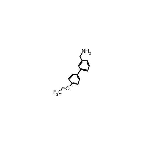 NCc1cccc(-c2ccc(OCC(F)(F)F)cc2)c1